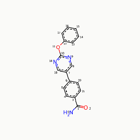 NC(=O)c1ccc(-c2cnc(Oc3ccccc3)nc2)cc1